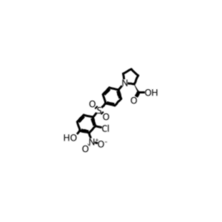 O=C(O)[C@@H]1CCCN1c1ccc(S(=O)(=O)c2ccc(O)c([N+](=O)[O-])c2Cl)cc1